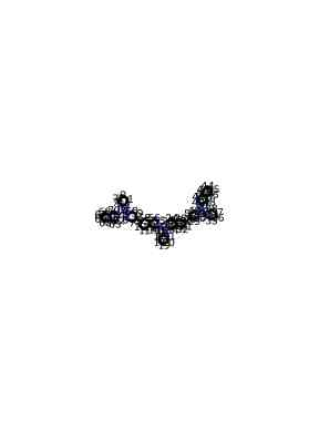 c1ccc(N(c2ccc(-c3ccc4cc(N(c5ccccc5)c5ccc6cc(-c7ccc(N(c8ccccc8)c8ccc9ccccc9c8)cc7)ccc6c5)ccc4c3)cc2)c2ccc3ccccc3c2)cc1